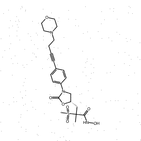 CC(C[C@H]1CN(c2ccc(C#CCCN3CCOCC3)cc2)C(=O)O1)(C(=O)NO)S(C)(=O)=O